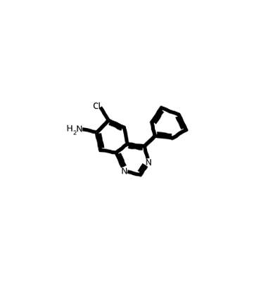 Nc1cc2ncnc(-c3ccccc3)c2cc1Cl